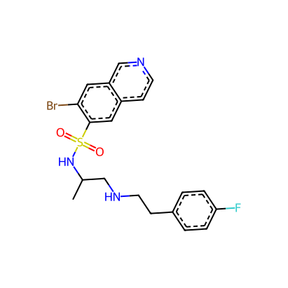 CC(CNCCc1ccc(F)cc1)NS(=O)(=O)c1cc2ccncc2cc1Br